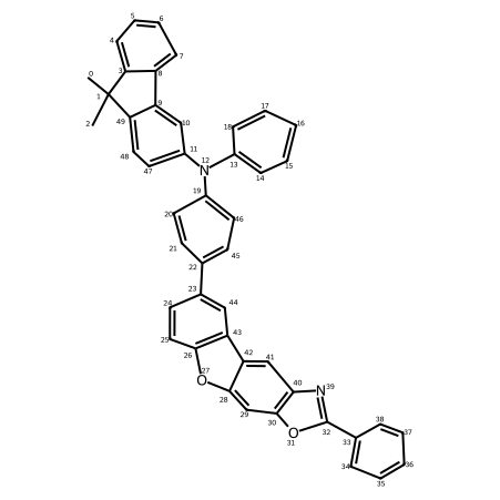 CC1(C)c2ccccc2-c2cc(N(c3ccccc3)c3ccc(-c4ccc5oc6cc7oc(-c8ccccc8)nc7cc6c5c4)cc3)ccc21